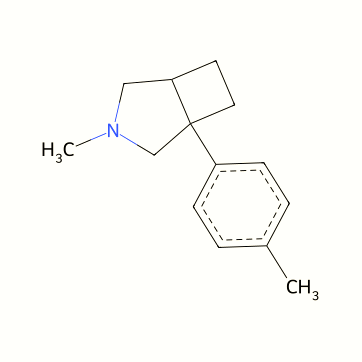 Cc1ccc(C23CCC2CN(C)C3)cc1